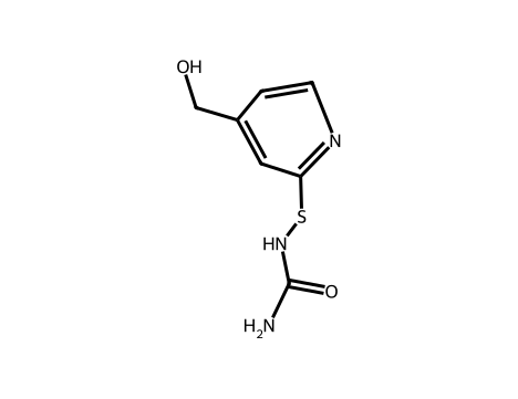 NC(=O)NSc1cc(CO)ccn1